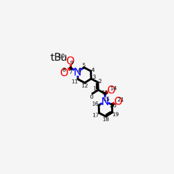 C/C(=C\C1CCN(C(=O)OC(C)(C)C)CC1)C(=O)N1CCC=CC1=O